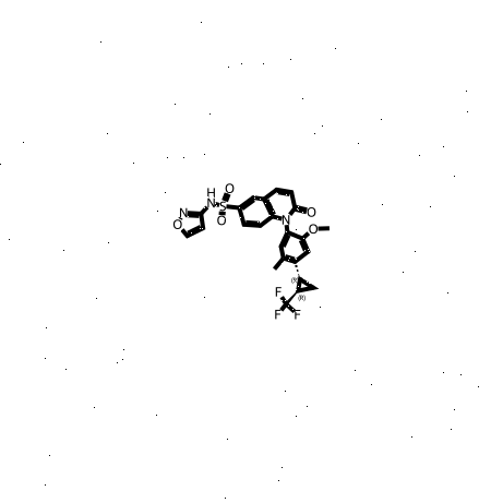 COc1cc([C@@H]2C[C@H]2C(F)(F)F)c(C)cc1-n1c(=O)ccc2cc(S(=O)(=O)Nc3ccon3)ccc21